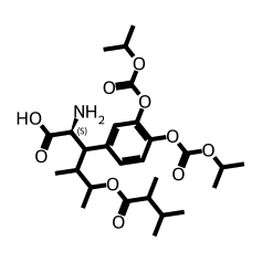 CC(C)OC(=O)Oc1ccc(C(C(C)C(C)OC(=O)C(C)C(C)C)[C@H](N)C(=O)O)cc1OC(=O)OC(C)C